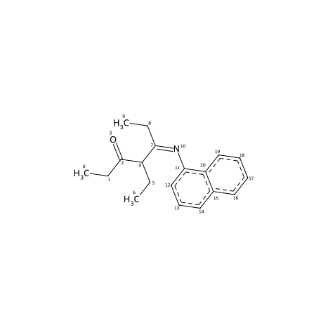 CCC(=O)C(CC)/C(CC)=N\c1cccc2ccccc12